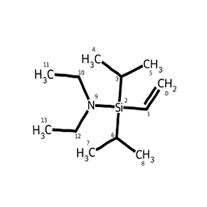 C=C[Si](C(C)C)(C(C)C)N(CC)CC